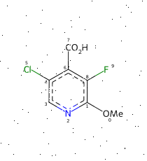 COc1ncc(Cl)c(C(=O)O)c1F